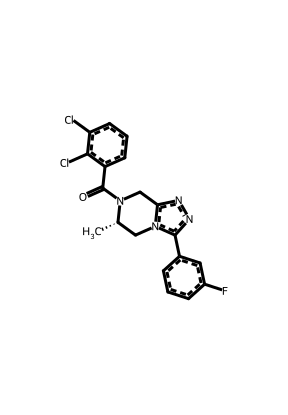 C[C@H]1Cn2c(nnc2-c2cccc(F)c2)CN1C(=O)c1cccc(Cl)c1Cl